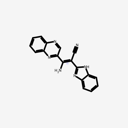 N#C/C(=C(/N)c1cnc2ccccc2n1)c1nc2ccccc2[nH]1